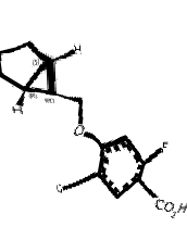 O=C(O)c1cc(Cl)c(OC[C@H]2[C@@H]3CCC[C@@H]32)cc1F